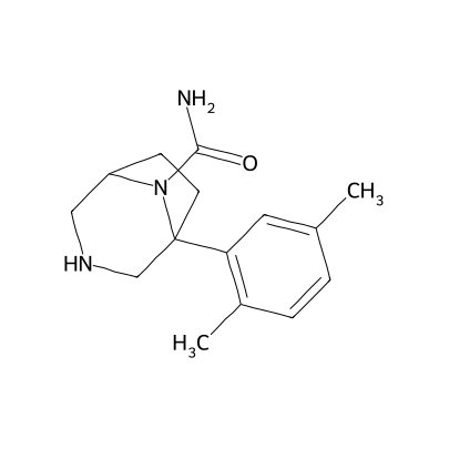 Cc1ccc(C)c(C23CCC(CNC2)N3C(N)=O)c1